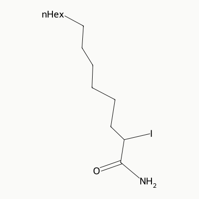 CCCCCCCCCCCCC(I)C(N)=O